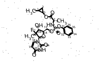 CC1CC1OC(=O)[C@H](C)N[P@](=O)(OC[C@H]1O[C@@H](n2ccc(=O)[nH]c2=O)[C@](C)(F)[C@@H]1O)Oc1ccccc1